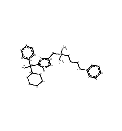 C[N+](C)(CCCOc1ccccc1)Cc1cnc(C(O)(c2ccccc2)C2CCCCC2)s1